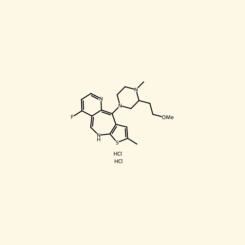 COCCC1CN(C2=c3nccc(F)c3=CNc3sc(C)cc32)CCN1C.Cl.Cl